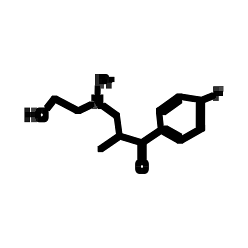 CC(CN(CCO)C(C)C)C(=O)c1ccc(F)cc1